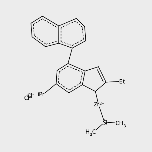 CCC1=Cc2c(-c3cccc4ccccc34)cc(C(C)C)cc2[CH]1[Zr+2][Si](C)C.[Cl-].[Cl-]